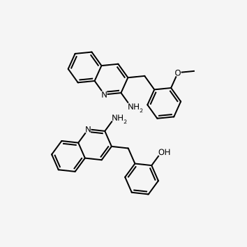 COc1ccccc1Cc1cc2ccccc2nc1N.Nc1nc2ccccc2cc1Cc1ccccc1O